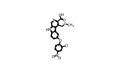 COCc1c(C(=O)O)ncc2[nH]c3ccc(Oc4ccc([N+](=O)[O-])cc4Cl)cc3c12